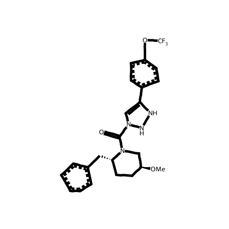 CO[C@H]1CC[C@H](Cc2ccccc2)N(C(=O)N2C=C(c3ccc(OC(F)(F)F)cc3)NN2)C1